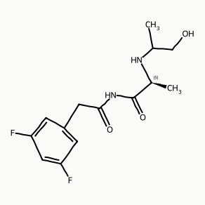 CC(CO)N[C@@H](C)C(=O)NC(=O)Cc1cc(F)cc(F)c1